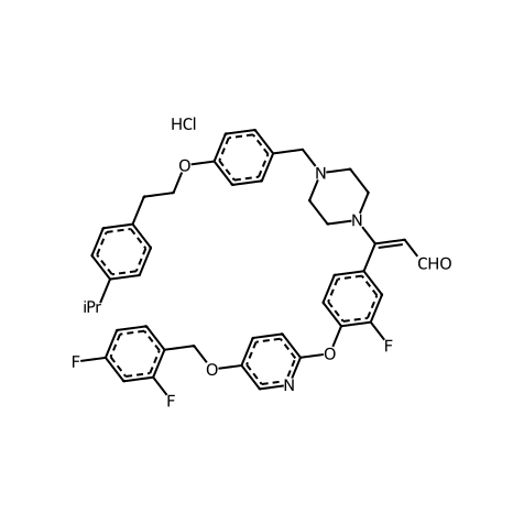 CC(C)c1ccc(CCOc2ccc(CN3CCN(/C(=C/C=O)c4ccc(Oc5ccc(OCc6ccc(F)cc6F)cn5)c(F)c4)CC3)cc2)cc1.Cl